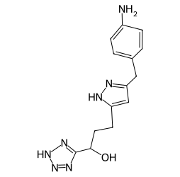 Nc1ccc(Cc2cc(CCC(O)c3nn[nH]n3)[nH]n2)cc1